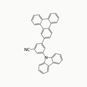 N#Cc1cc(-c2ccc3c4ccccc4c4ccccc4c3c2)cc(-n2c3ccccc3c3ccccc32)c1